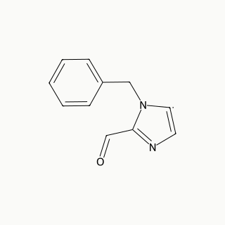 O=Cc1nc[c]n1Cc1ccccc1